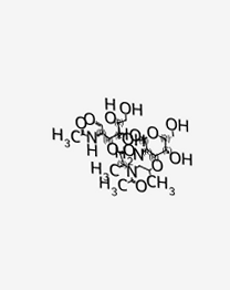 CC(=O)N[C@@H](C=O)[C@@H](OC(=O)[C@H](C)N(CC(C)O[C@@H]1[C@@H](N)[C@@H](O)O[C@H](CO)[C@H]1O)C(C)=O)[C@H](O)[C@H](O)CO